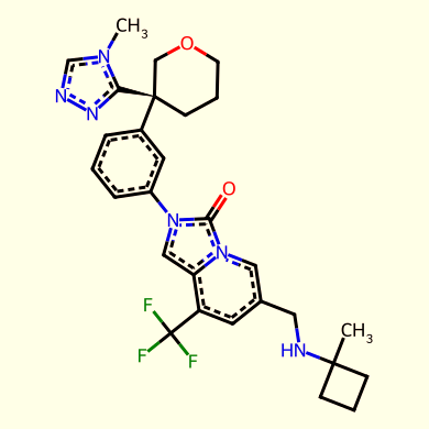 Cn1cnnc1[C@]1(c2cccc(-n3cc4c(C(F)(F)F)cc(CNC5(C)CCC5)cn4c3=O)c2)CCCOC1